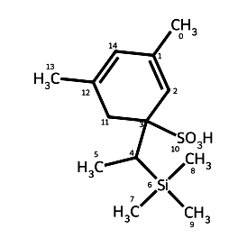 CC1=CC(C(C)[Si](C)(C)C)(S(=O)(=O)O)CC(C)=C1